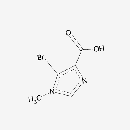 Cn1cnc(C(=O)O)c1Br